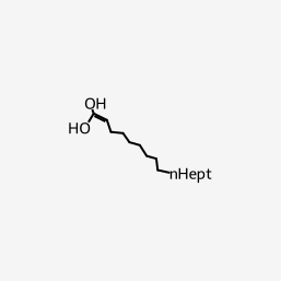 CCCCCCCCCCCCCCC=C(O)O